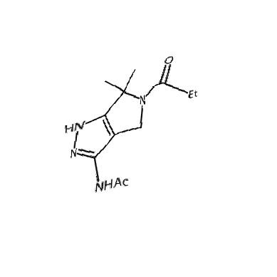 CCC(=O)N1Cc2c(NC(C)=O)n[nH]c2C1(C)C